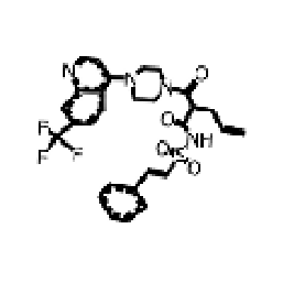 C=CCC(C(=O)NS(=O)(=O)C=Cc1ccccc1)C(=O)N1CCN(c2ccnc3cc(C(F)(F)F)ccc23)CC1